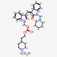 O=C(OCCC1CCN(C(=O)O)CC1)OCn1cc(C=C2C(=O)N(CN3CCCCC3)c3ccccc32)c2ccccc21